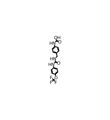 O=C(O)Nc1ccc(CNC(=O)Nc2ccc(OC(F)(F)F)cc2)cc1